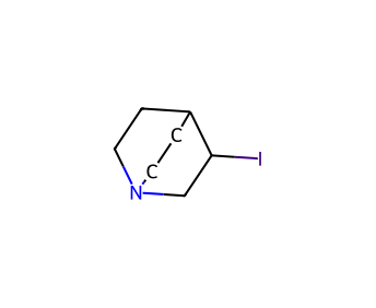 IC1CN2CCC1CC2